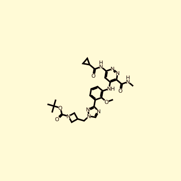 CNC(=O)c1nnc(NC(=O)C2CC2)cc1Nc1cccc(-c2ncn(CC3CN(C(=O)OC(C)(C)C)C3)n2)c1OC